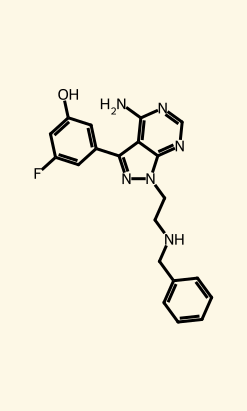 Nc1ncnc2c1c(-c1cc(O)cc(F)c1)nn2CCNCc1ccccc1